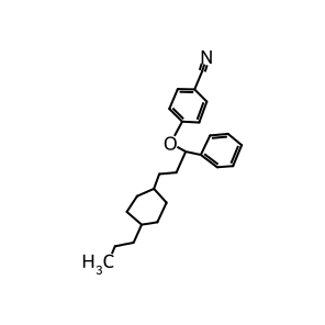 CCCC1CCC(CCC(Oc2ccc(C#N)cc2)c2ccccc2)CC1